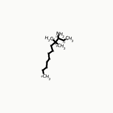 CCCCCCCCC(C)(C)C(N)CC